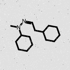 CN(/N=C\CC1CCCCC1)C1CCCCC1